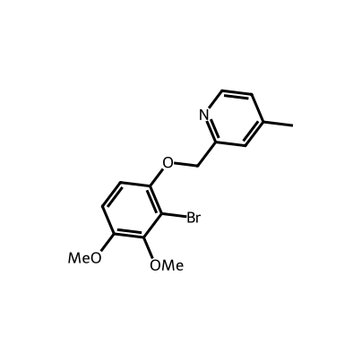 COc1ccc(OCc2cc(C)ccn2)c(Br)c1OC